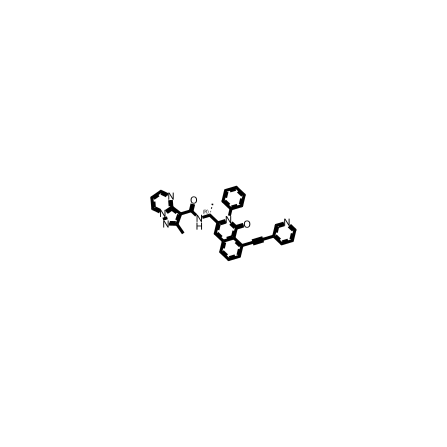 Cc1nn2cccnc2c1C(=O)N[C@H](C)c1cc2cccc(C#Cc3cccnc3)c2c(=O)n1-c1ccccc1